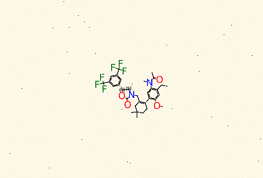 CCc1cc(OC)c(C2=C(CN3C(=O)O[C@H](c4cc(C(F)(F)F)cc(C(F)(F)F)c4)[C@@H]3C)CC(C)(C)CC2)cc1N(C)C(C)=O